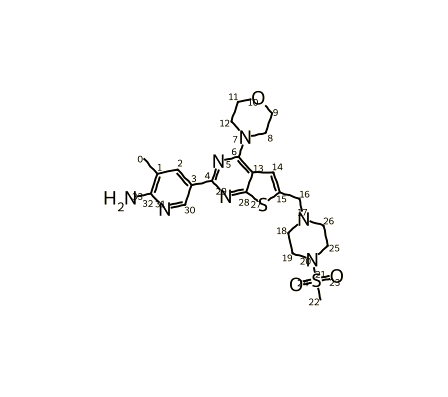 Cc1cc(-c2nc(N3CCOCC3)c3cc(CN4CCN(S(C)(=O)=O)CC4)sc3n2)cnc1N